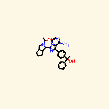 CC(O)N1CC2CCCC2C1c1nc(-c2ccc(C(C)(O)c3ccccc3)cc2)c2c(N)nccn12